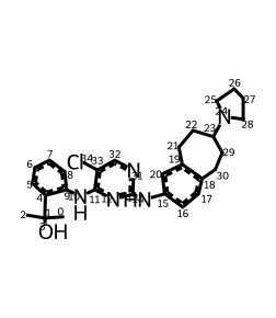 CC(C)(O)c1ccccc1Nc1nc(Nc2ccc3c(c2)CCC(N2CCCC2)CC3)ncc1Cl